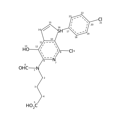 O=CN(CCCC(=O)O)c1nc(Cl)c2c(c1O)C=C[SH]2c1ccc(Cl)cc1